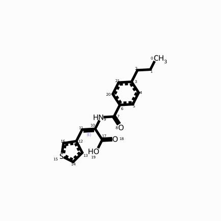 CCCc1ccc(C(=O)N/C(=C/c2ccsc2)C(=O)O)cc1